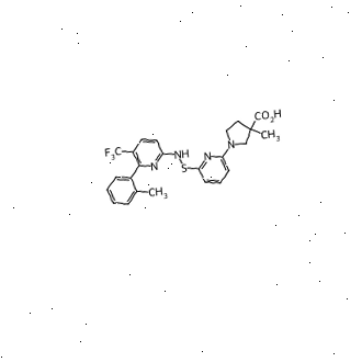 Cc1ccccc1-c1nc(NSc2cccc(N3CCC(C)(C(=O)O)C3)n2)ccc1C(F)(F)F